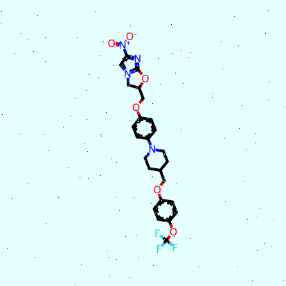 O=[N+]([O-])c1cn2c(n1)OC(COc1ccc(N3CCC(COc4ccc(OC(F)(F)F)cc4)CC3)cc1)C2